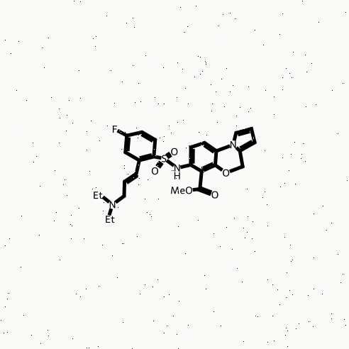 CCN(CC)CC=Cc1cc(F)ccc1S(=O)(=O)Nc1ccc2c(c1C(=O)OC)OCc1cccn1-2